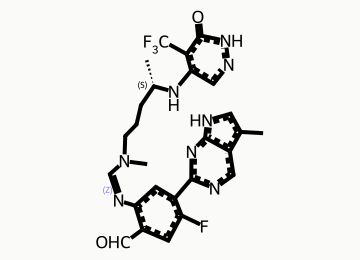 Cc1c[nH]c2nc(-c3cc(/N=C\N(C)CCC[C@H](C)Nc4cn[nH]c(=O)c4C(F)(F)F)c(C=O)cc3F)ncc12